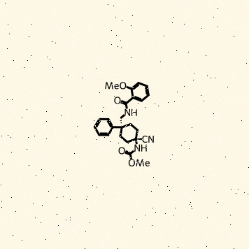 COC(=O)N[C@]1(C#N)CC[C@@](CNC(=O)c2ccccc2OC)(c2ccccc2)CC1